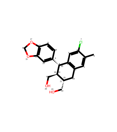 Cc1cc2c(cc1Cl)[C@@H](c1ccc3c(c1)OCO3)[C@H](CO)[C@@H](CO)C2